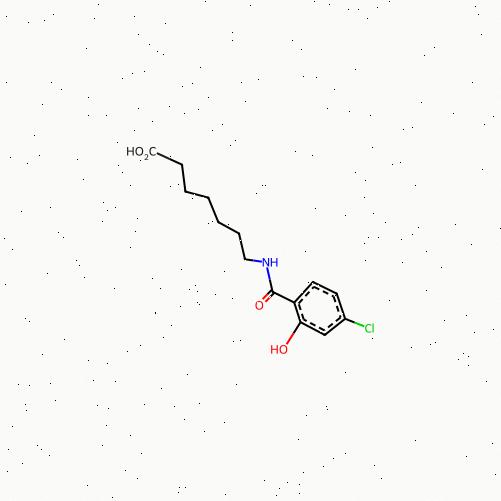 O=C(O)CCCCCCNC(=O)c1ccc(Cl)cc1O